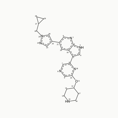 c1nc2[nH]cc(-c3cncc(OC4CCNCC4)n3)c2cc1-c1cnn(CC2CC2)c1